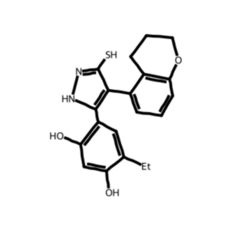 CCc1cc(-c2[nH]nc(S)c2-c2cccc3c2CCCO3)c(O)cc1O